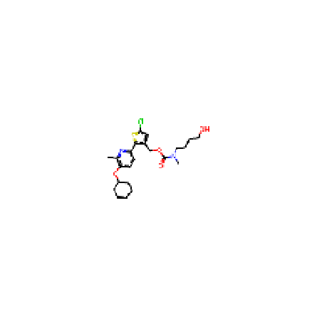 Cc1nc(-c2sc(Cl)cc2COC(=O)N(C)CCCCO)ccc1OC1CCCCC1